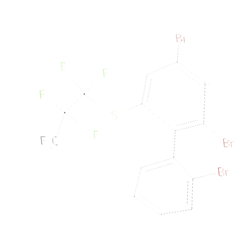 FC(F)(F)C(F)(F)C(F)(F)Sc1cc(Br)[c]c(Br)c1-c1ccccc1Br